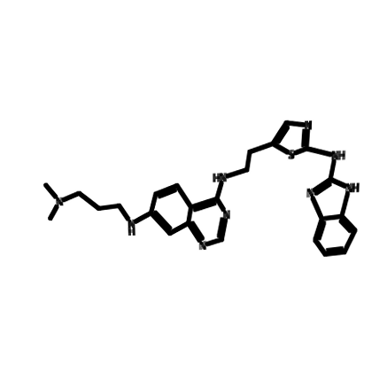 CN(C)CCCNc1ccc2c(NCCc3cnc(Nc4nc5ccccc5[nH]4)s3)ncnc2c1